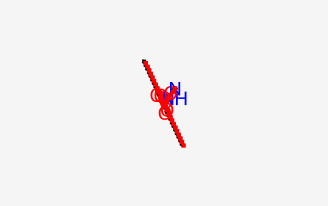 CCCCCCCCCCCCCCCCCCCC(=O)OCCCC(CCCOC(=O)CCCCCCCCCCCCCCCCCCC)OC(=O)NCCOCCN(C)C